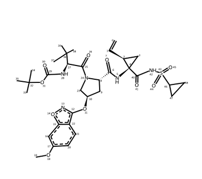 C=C[C@H]1C[C@]1(NC(=O)[C@@H]1C[C@@H](Oc2noc3cc(OC)ccc23)CN1C(=O)[C@@H](NC(=O)OC(C)(C)C)C(C)(C)C)C(=O)NS(=O)(=O)C1CC1